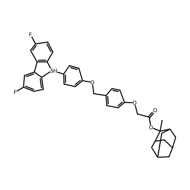 CC1(OC(=O)COc2ccc(COc3ccc([SH]4c5ccc(F)cc5-c5cc(F)ccc54)cc3)cc2)C2CC3CC(C2)CC1C3